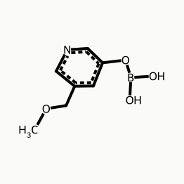 COCc1cncc(OB(O)O)c1